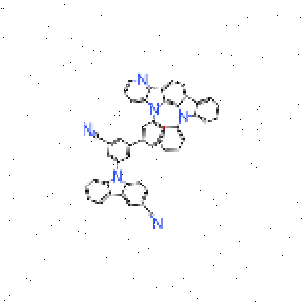 N#Cc1cc(-c2cccc(-n3c4cccnc4c4ccc5c6ccccc6n(-c6ccccc6)c5c43)c2)cc(-n2c3ccccc3c3cc(C#N)ccc32)c1